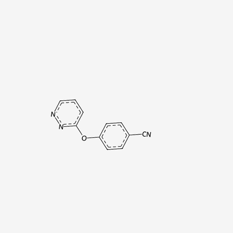 N#Cc1ccc(Oc2cccnn2)cc1